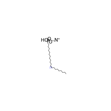 CCCCCCCC/C=C\CCCCCCCCCCCCP(=O)(O)OCC[N+](C)(C)C